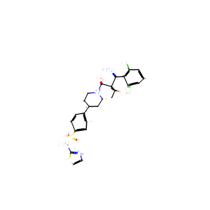 C/C(O)=C(/C(=N)c1c(Cl)cccc1Cl)C(=O)N1CCC(c2ccc(S(=O)(=O)Nc3nccs3)cc2)CC1